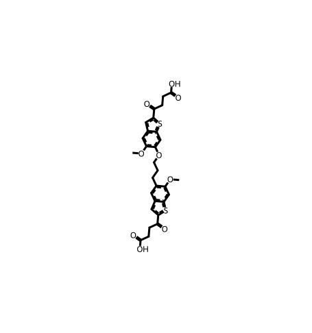 COc1cc2sc(C(=O)CCC(=O)O)cc2cc1CCCOc1cc2sc(C(=O)CCC(=O)O)cc2cc1OC